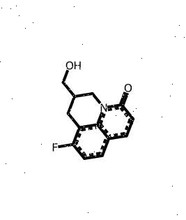 O=c1ccc2ccc(F)c3c2n1CC(CO)C3